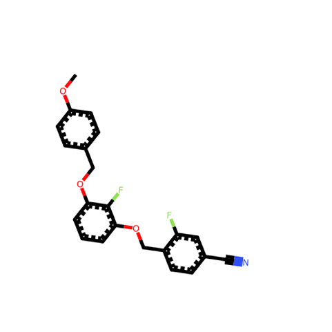 COc1ccc(COc2cccc(OCc3ccc(C#N)cc3F)c2F)cc1